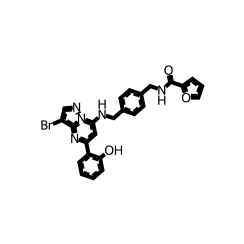 O=C(NCc1ccc(CNc2cc(-c3ccccc3O)nc3c(Br)cnn23)cc1)c1ccco1